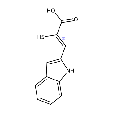 O=C(O)/C(S)=C/c1cc2ccccc2[nH]1